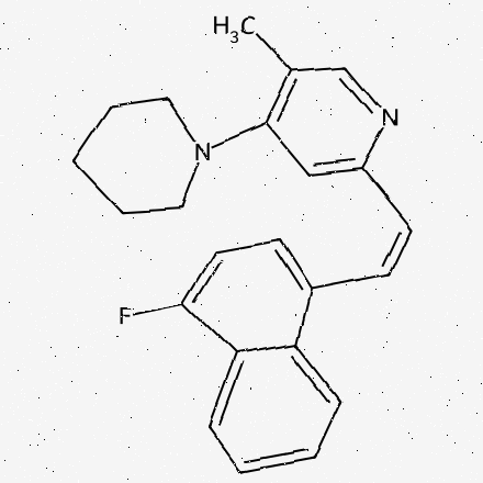 Cc1cnc(/C=C\c2ccc(F)c3ccccc23)cc1N1CCCCC1